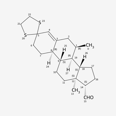 C[C@@H]1CC2=CC3(CC[C@@H]2[C@H]2CC[C@]4(C)[C@@H](C=O)CC[C@H]4[C@@H]21)SCCS3